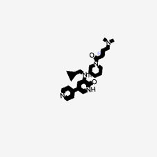 CN(C)C/C=C/C(=O)N1CCC[C@H](N(CC2CC2)c2cc(-c3ccncc3)c[nH]c2=O)C1